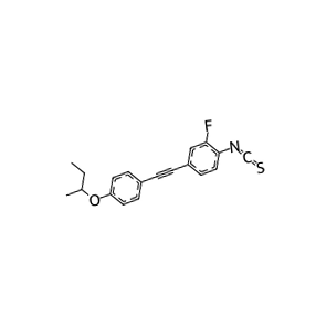 CCC(C)Oc1ccc(C#Cc2ccc(N=C=S)c(F)c2)cc1